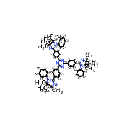 CC1(C)N=C(c2ccc(-c3nc(-c4ccc(C5=NC(C)(C)C(C)(C)N5c5ccccc5)cc4)nc(-c4ccc(C5=NC(C)(C)C(C)(C)N5c5ccccc5)cc4)n3)cc2)N(c2ccccc2)C1(C)C